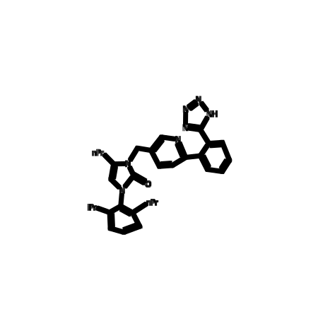 CCCc1cccc(C(C)C)c1-n1cc(CCC)n(Cc2ccc(-c3ccccc3-c3nnn[nH]3)nc2)c1=O